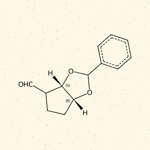 O=CC1CC[C@H]2OC(c3ccccc3)O[C@@H]12